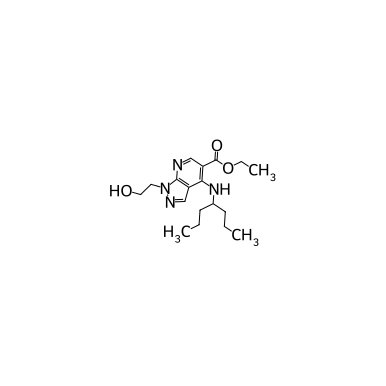 CCCC(CCC)Nc1c(C(=O)OCC)cnc2c1cnn2CCO